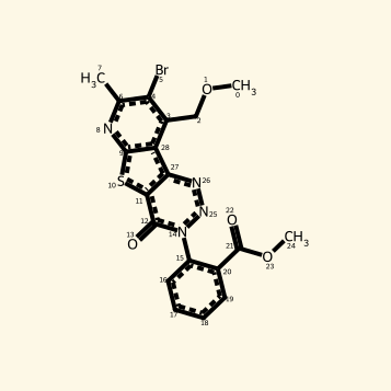 COCc1c(Br)c(C)nc2sc3c(=O)n(-c4ccccc4C(=O)OC)nnc3c12